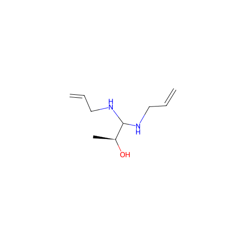 C=CCNC(NCC=C)[C@H](C)O